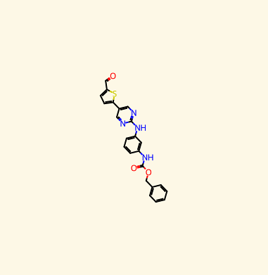 O=Cc1ccc(-c2cnc(Nc3cccc(NC(=O)OCc4ccccc4)c3)nc2)s1